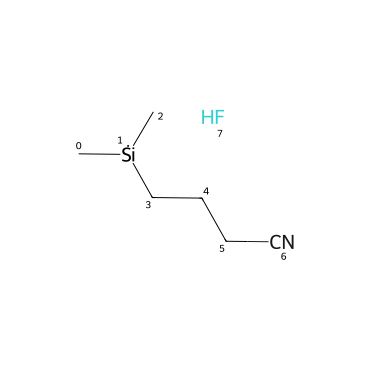 C[Si](C)CCCC#N.F